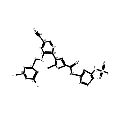 Cc1sc(C(=O)Nc2cccc(NS(C)(=O)=O)c2)cc1-c1ncc(C#N)cc1OCc1cc(F)cc(F)c1